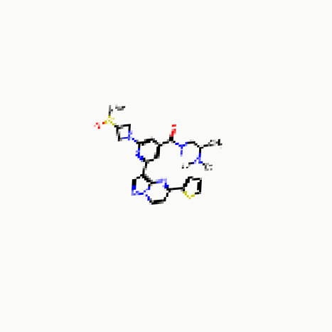 CCN(CC)C(C)CNC(=O)c1cc(-c2cnn3ccc(-c4cccs4)nc23)nc(N2CC([S+]([O-])NC)C2)c1